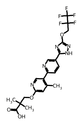 Cc1cc(OCC(C)(C)C(=O)O)ncc1-c1ccc(-c2nc(OCC(F)(F)C(F)(F)F)n[nH]2)cn1